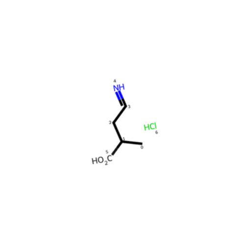 CC(CC=N)C(=O)O.Cl